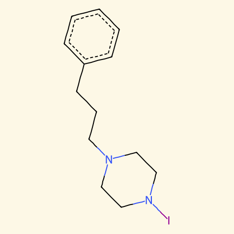 IN1CCN(CCCc2ccccc2)CC1